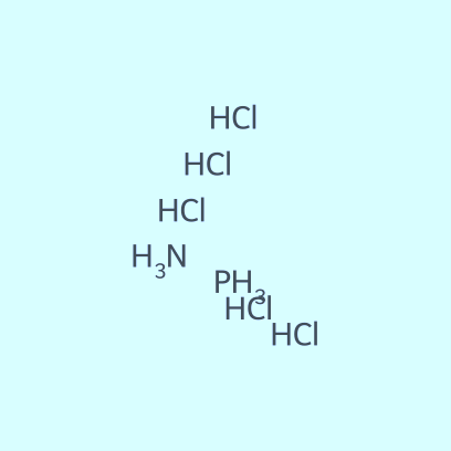 Cl.Cl.Cl.Cl.Cl.N.P